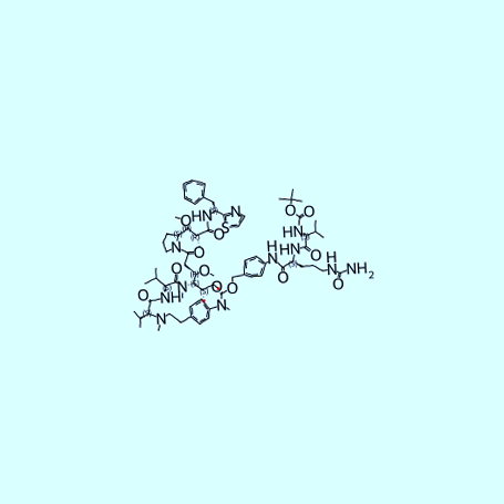 CC[C@H](C)[C@@H]([C@@H](CC(=O)N1CCC[C@H]1[C@H](OC)[C@@H](C)C(=O)N[C@@H](Cc1ccccc1)c1nccs1)OC)N(C)C(=O)[C@@H](NC(=O)[C@H](C(C)C)N(C)CCc1ccc(N(C)C(=O)OCc2ccc(NC(=O)[C@H](CCCNC(N)=O)NC(=O)[C@@H](NC(=O)OC(C)(C)C)C(C)C)cc2)cc1)C(C)C